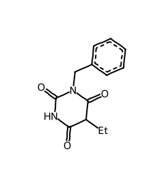 CCC1C(=O)NC(=O)N(Cc2ccccc2)C1=O